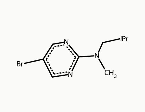 CC(C)CN(C)c1ncc(Br)cn1